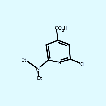 CCN(CC)c1cc(C(=O)O)cc(Cl)n1